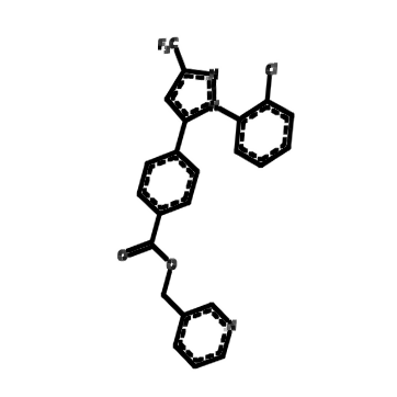 O=C(OCc1cccnc1)c1ccc(-c2cc(C(F)(F)F)nn2-c2ccccc2Cl)cc1